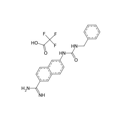 N=C(N)c1ccc2cc(NC(=O)NCc3ccccc3)ccc2c1.O=C(O)C(F)(F)F